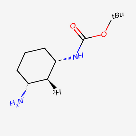 [2H][C@H]1[C@H](N)CCC[C@@H]1NC(=O)OC(C)(C)C